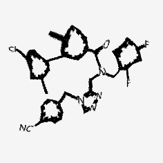 Cc1cc(Cl)cc(-c2cc(C(=O)N(Cc3ccc(F)cc3F)Cc3nncn3Cc3ccc(C#N)cc3)ccc2C)c1